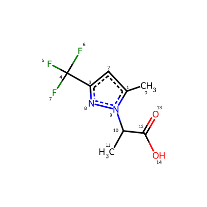 Cc1cc(C(F)(F)F)nn1C(C)C(=O)O